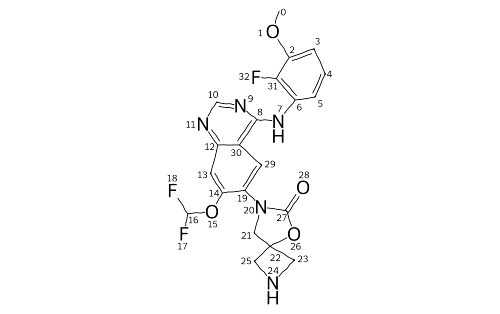 COc1cccc(Nc2ncnc3cc(OC(F)F)c(N4CC5(CNC5)OC4=O)cc23)c1F